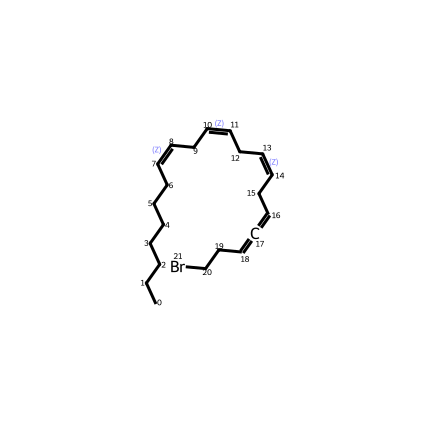 CCCCCCC/C=C\C/C=C\C/C=C\CC=C=CCCBr